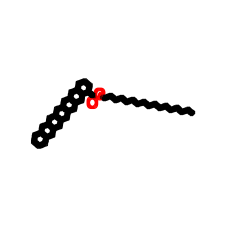 CCCCCCCCCCCCCCCCCOC(=O)C1CCCC2CC3CC4CC5CC6CC7CCCCC7CC6CC5CC4CC3CC21